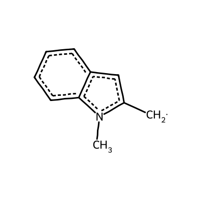 [CH2]c1cc2ccccc2n1C